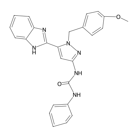 COc1ccc(Cn2nc(NC(=O)Nc3ccccc3)cc2-c2nc3ccccc3[nH]2)cc1